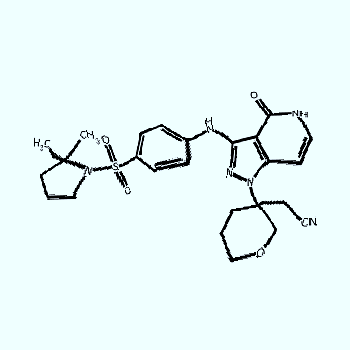 CC1(C)CCCN1S(=O)(=O)c1ccc(Nc2nn(C3(CC#N)CCCOC3)c3cc[nH]c(=O)c23)cc1